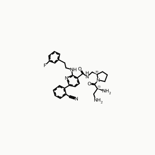 N#Cc1ccccc1-c1ccc(C(=O)NC[C@H]2CCCN2C(=O)[C@@H](N)CN)c(NCCc2cccc(F)c2)n1